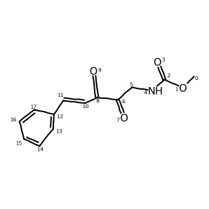 COC(=O)NCC(=O)C(=O)/C=C/c1ccccc1